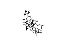 CCCC(F)(C(=O)Oc1c(C)cc(C(F)(F)F)cc1C(F)(F)F)C(=O)Oc1c(C(F)(F)F)cc(C)cc1C(F)(F)F